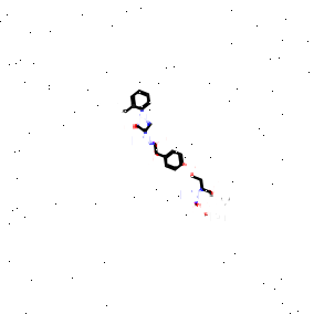 COC(=O)C(CCOc1ccc(C(=O)C(=O)NC2CN(c3ccccc3CC(=O)O)C2=O)cc1)NC(=O)OC(C)(C)C